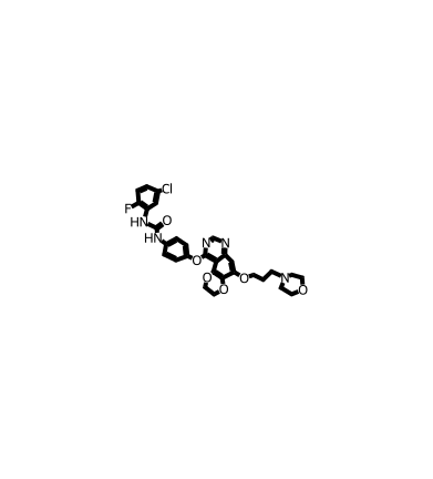 O=C(Nc1ccc(Oc2ncnc3cc(OCCCN4CCOCC4)c4c(c23)OCCO4)cc1)Nc1cc(Cl)ccc1F